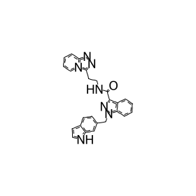 O=C(NCCc1nnc2ccccn12)c1nn(Cc2ccc3cc[nH]c3c2)c2ccccc12